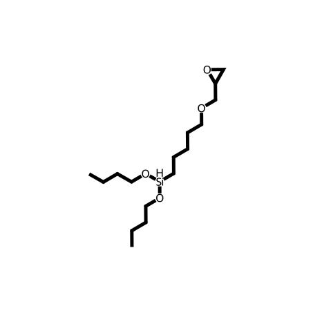 CCCCO[SiH](CCCCCOCC1CO1)OCCCC